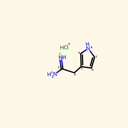 Cl.N=C(N)Cc1cc[nH]c1